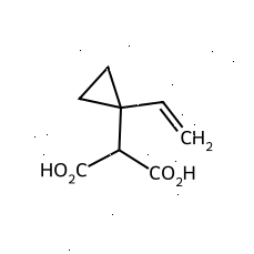 C=CC1(C(C(=O)O)C(=O)O)CC1